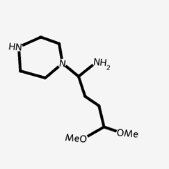 COC(CCC(N)N1CCNCC1)OC